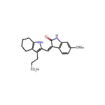 COc1ccc2c(c1)NC(=O)C2=Cc1[nH]c2c(c1CCC(=O)O)CCCC2